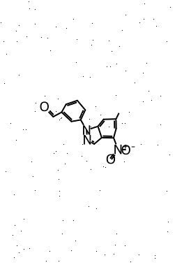 Cc1cc([N+](=O)[O-])c2cnn(-c3cccc(C=O)c3)c2c1